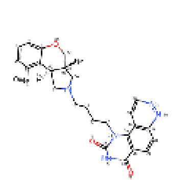 COc1cccc2c1[C@@H]1CN(CCCCn3c(=O)[nH]c(=O)c4ccc5nnccc5c43)C[C@H]1CO2